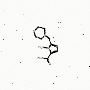 COC(=O)c1cnc(CN2CCOCC2)n1C